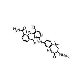 CC(=O)NC1CC(C)(C)c2ccc(Nc3ncc(Cl)c(Nc4c(CF)cccc4C(N)=O)n3)cc2NC1=O